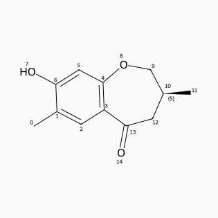 Cc1cc2c(cc1O)OC[C@@H](C)CC2=O